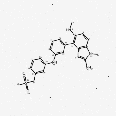 CNc1ccc2c(nc(N)n2C)c1-c1cccc(Nc2cccc(CS(C)(=O)=O)c2)c1